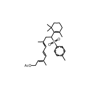 CC(=O)OCC=C(C)C=CC=C(C)CC(C1=C(C)CCCC1(C)C)S(=O)(=O)c1ccc(C)cc1